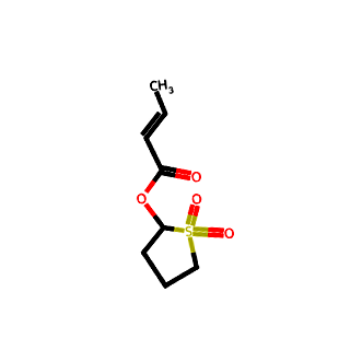 CC=CC(=O)OC1CCCS1(=O)=O